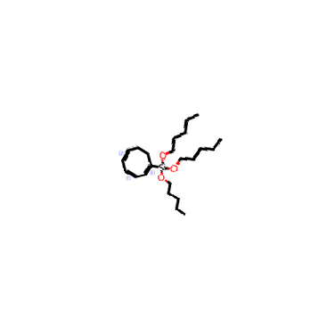 CCCCCO[Si](OCCCCC)(OCCCCC)/C1=C/C=C\C=C/CC1